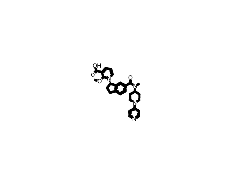 COC1C(C(=O)O)=CC=CN1[C@@H]1CCc2ccc(C(=O)N(C)C3CCN(c4ccncc4)CC3)cc21